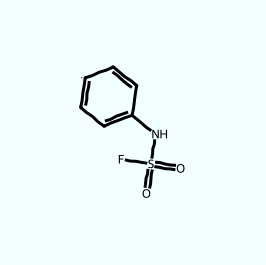 O=S(=O)(F)Nc1cc[c]cc1